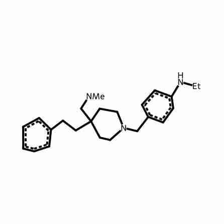 CCNc1ccc(CN2CCC(CCc3ccccc3)(CNC)CC2)cc1